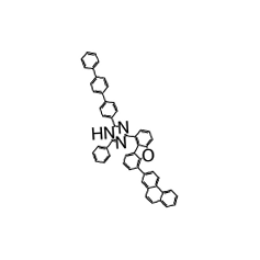 c1ccc(C2=NC(c3cccc4oc5c(-c6ccc7c(ccc8ccccc87)c6)cccc5c34)=NC(c3ccc(-c4ccc(-c5ccccc5)cc4)cc3)N2)cc1